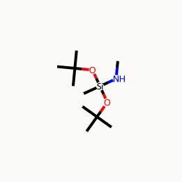 CN[Si](C)(OC(C)(C)C)OC(C)(C)C